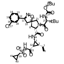 C=C[C@H]1[C@H](NC(=O)[C@@H]2C[C@]3(CC(c4cccc(Cl)c4)=NO3)CN2C(=O)[C@@H](NC(=O)OC(C)(C)C)C(C)(C)C)[C@H]1C(=O)NS(=O)(=O)C1CC1